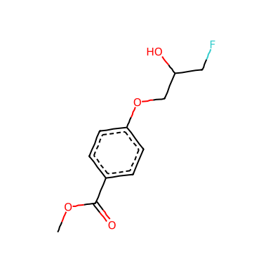 COC(=O)c1ccc(OCC(O)CF)cc1